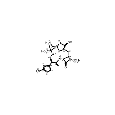 CC(C)(ON=C(C(=O)N[C@@H]1C(=O)N(S(=O)(=O)O)[C@H]1CN1C[C@@H](CN)OC1=O)c1csc(N)n1)C(=O)O